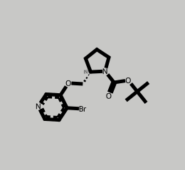 CC(C)(C)OC(=O)N1CCC[C@H]1COc1cnccc1Br